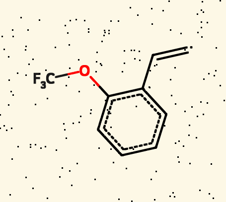 [CH]=Cc1ccccc1OC(F)(F)F